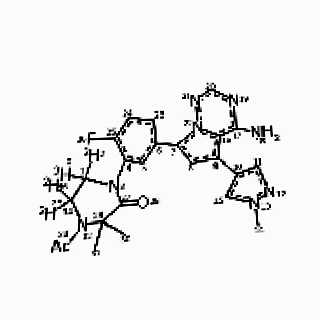 [2H]C1([2H])N(c2cc(-c3cc(-c4cnn(C)c4)c4c(N)ncnn34)ccc2F)C(=O)C(C)(C)N(C(C)=O)C1([2H])[2H]